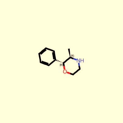 C[C@H]1NCCO[C@@H]1c1ccccc1